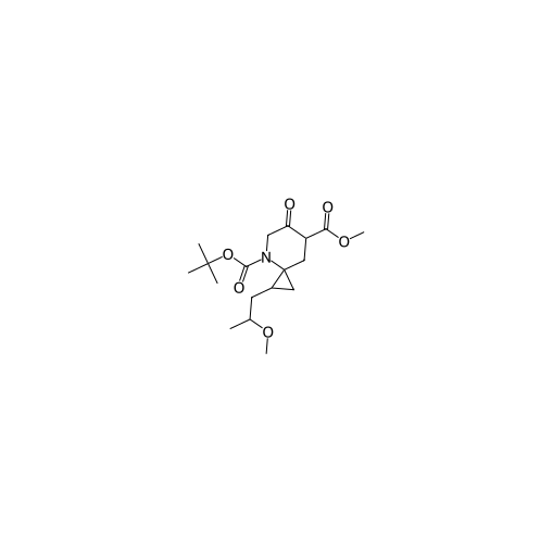 COC(=O)C1CC2(CC2CC(C)OC)N(C(=O)OC(C)(C)C)CC1=O